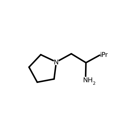 CC(C)C(N)CN1CCCC1